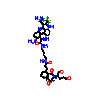 CN(C(=O)c1c(C=O)cccc1CCC(=O)NCCCCNC(=O)C(=N)c1c(N)ccc2nc(/C(=C/N)C(=N)C(F)(F)F)c3c(c12)CCCC3)C(C=O)CCC=O